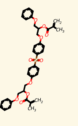 C=C(C)C(=O)OC(COc1ccccc1)COc1ccc(S(=O)(=O)c2ccc(OCC(COc3ccccc3)OC(=O)C(=C)C)cc2)cc1